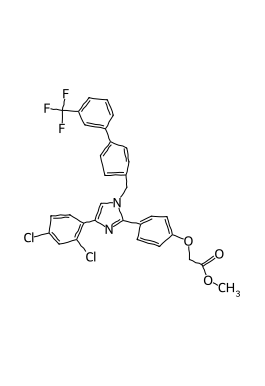 COC(=O)COc1ccc(-c2nc(-c3ccc(Cl)cc3Cl)cn2Cc2ccc(-c3cccc(C(F)(F)F)c3)cc2)cc1